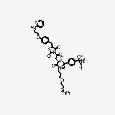 CCCOCCOCCCNC(=O)[C@@H](CC(=O)N1C(=O)SC(Cc2ccc(OCCN(C)c3ccccn3)cc2)C1=O)NC(=O)c1ccc(C2(C(F)(F)F)NN2)cc1